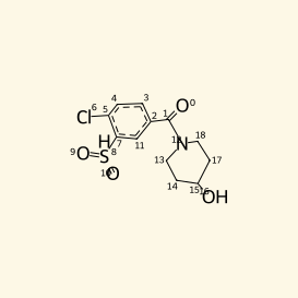 O=C(c1ccc(Cl)c([SH](=O)=O)c1)N1CCC(O)CC1